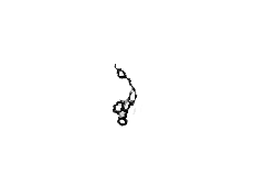 CCc1ccc(C(=O)CCN2CCC(C(O)(c3ccccc3)c3ccccc3)CC2)cc1